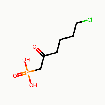 O=C(CCCCCl)CP(=O)(O)O